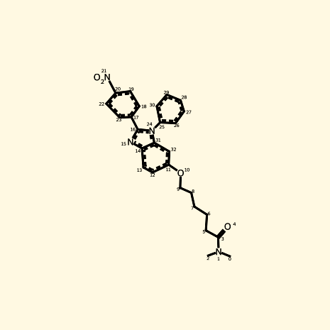 CN(C)C(=O)CCCCCOc1ccc2nc(-c3ccc([N+](=O)[O-])cc3)n(-c3ccccc3)c2c1